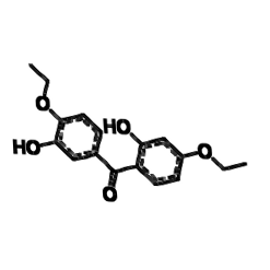 CCOc1ccc(C(=O)c2ccc(OCC)c(O)c2)c(O)c1